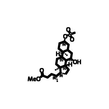 COC(=O)CC[C@@H](C)[C@H]1CC[C@H]2C3[C@@H](O)CC4C[C@@H](OS(C)(=O)=O)CC[C@]4(C)[C@H]3CC[C@]12C